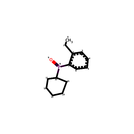 CCc1ccccc1[P](=O)C1CCCCC1